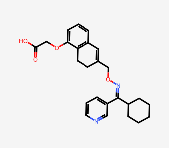 O=C(O)COc1cccc2c1CCC(CO/N=C(\c1cccnc1)C1CCCCC1)=C2